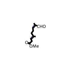 COC(=O)C/C=C(\C)CC/C=C(/C)C=O